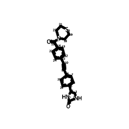 O=C1NCC(c2ccc(C#Cc3ccc(C(=O)N4CCSCC4)cc3)cc2)N1